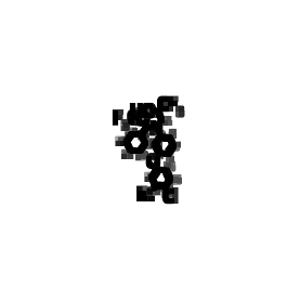 CCc1cc(Oc2cccc(N(CC(O)C(F)(F)F)C(OC(F)(F)F)C3CCCCC3)c2)ccc1Cl